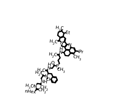 C=C(CN(C)C(=C)CCCCCC)NCC(=C)N(C)C(Cc1ccccc1)C(=C)NCC(=O)P(C)CCCC(=C)NC1CCc2c(C)c(C(C)C)cc3nc4c(c1c23)CN1C(=C)C2=C(C=C41)C(CC)C(=C)CC2